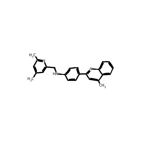 Cc1cc(C)nc(CNc2ccc(-c3cc(C)c4ccccc4n3)cc2)c1